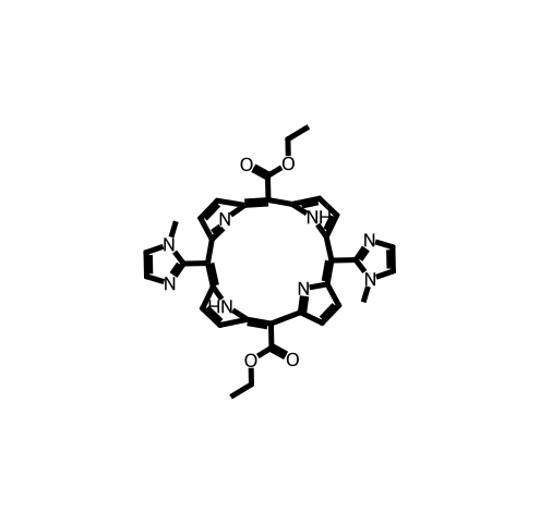 CCOC(=O)c1c2nc(c(-c3nccn3C)c3ccc([nH]3)c(C(=O)OCC)c3nc(c(-c4nccn4C)c4ccc1[nH]4)C=C3)C=C2